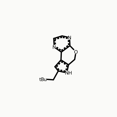 CC(C)(C)Cc1cc2c([nH]1)COc1nccnc1-2